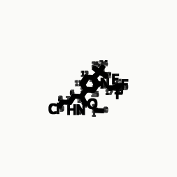 CCOC(=N)C(CCCCl)c1ccc2c(c1)N(CC(F)(F)F)CC2(C)C